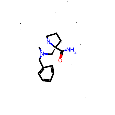 CN(Cc1ccccc1)C[C@]1(C(N)=O)CCC[N]1